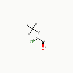 CC(C)(C)CC(Cl)C=O